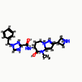 CN1C(=O)[C@H](NC(=O)c2ncn(Cc3ccccc3)n2)CCn2nc(C3CNC3)cc21